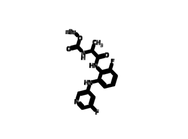 CCCCOC(=O)NC(C)C(=O)Nc1c(F)cccc1Nc1cncc(F)c1